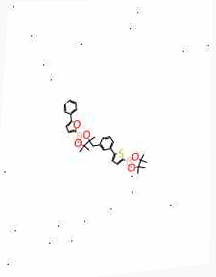 CC1(C)OB(c2ccc(-c3cccc(CC4(C)OB(c5ccc(-c6ccccc6)o5)OC4(C)C)c3)s2)OC1(C)C